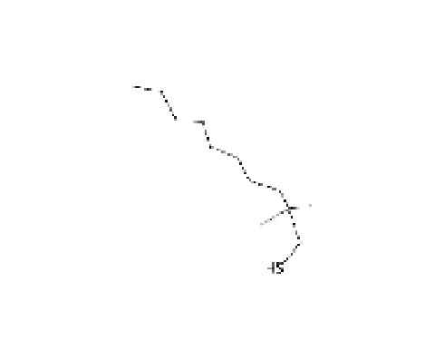 CCCCCCCCC(C)(C)CS